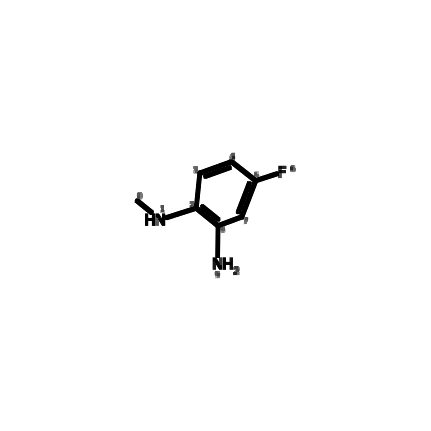 CNc1ccc(F)cc1N